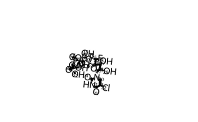 O=c1[nH]c(=O)n([C@@H]2O[C@@](COP(=O)(O)OP(=O)(O)OP(=O)(O)O)(C(F)F)[C@@H](O)[C@H]2O)cc1Cl